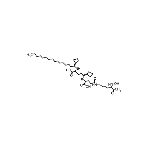 CCCCCCCCCCCCCCCC(NC(CCC(NC(CCC(=O)NCCCCC(NO)C(C)=O)C(=O)O)=C1CCC1)C(=O)O)=C1CCC1